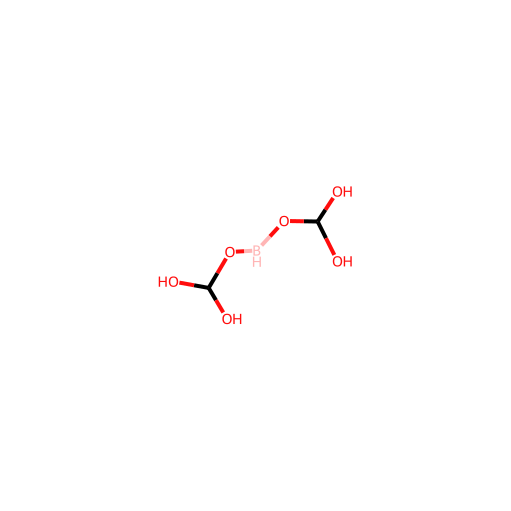 OC(O)OBOC(O)O